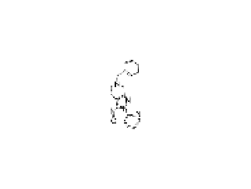 O=Nc1c2c(nn1-c1ccccn1)CN(CC1=CCCC=C1)CC2